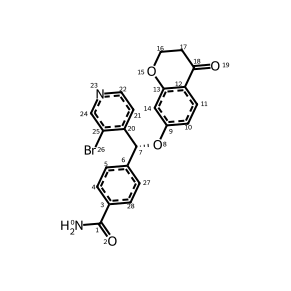 NC(=O)c1ccc([C@@H](Oc2ccc3c(c2)OCCC3=O)c2ccncc2Br)cc1